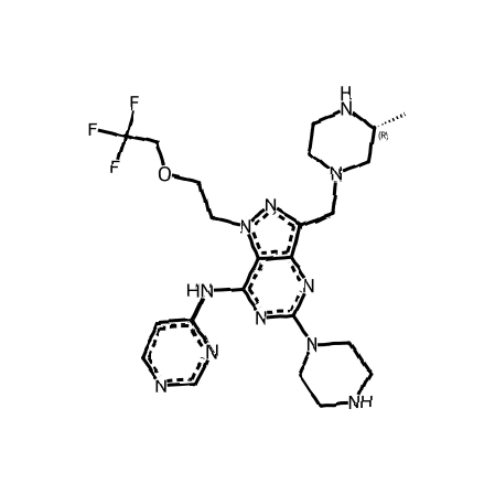 C[C@@H]1CN(Cc2nn(CCOCC(F)(F)F)c3c(Nc4ccncn4)nc(N4CCNCC4)nc23)CCN1